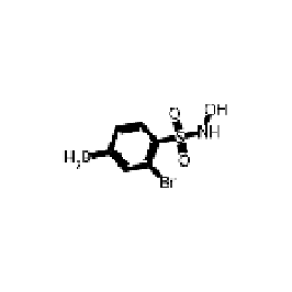 Bc1ccc(S(=O)(=O)NO)c(Br)c1